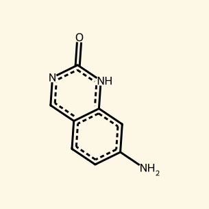 Nc1ccc2cnc(=O)[nH]c2c1